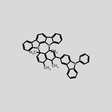 CC1C=CC2(C)C3=C1C(C)C(c1ccc4c(c1)c1ccccc1n4-c1ccccc1)=CC3(C)n1c3ccccc3c3ccc4c5ccccc5n2c4c31